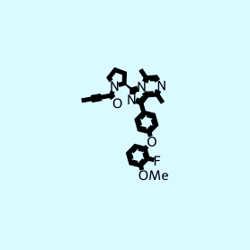 CC#CC(=O)N1CCC[C@H]1c1nc(-c2ccc(Oc3cccc(OC)c3F)cc2)c2c(C)ncc(C)n12